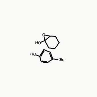 CC(C)(C)c1ccc(O)cc1.OC12CCCCC1O2